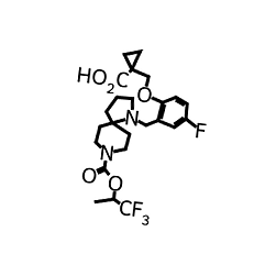 CC(OC(=O)N1CCC2(CCCN2Cc2cc(F)ccc2OCC2(C(=O)O)CC2)CC1)C(F)(F)F